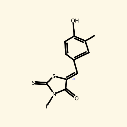 Cc1cc(/C=C2\SC(=S)N(I)C2=O)ccc1O